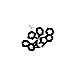 CC1=C2c3c(ccc4ccccc34)[CH]1[Zr+2][CH]1C(C)=C(c3c1ccc1ccccc31)[Si]2(c1ccccc1)c1ccccc1.[Cl-].[Cl-]